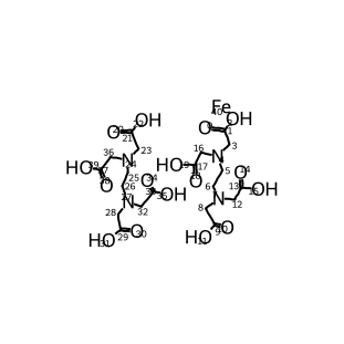 O=C(O)CN(CCN(CC(=O)O)CC(=O)O)CC(=O)O.O=C(O)CN(CCN(CC(=O)O)CC(=O)O)CC(=O)O.[Fe]